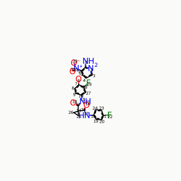 Nc1nccc(Oc2ccc(NC(=O)C3(C(=O)Nc4ccc(F)cc4)CC3)cc2F)c1[N+](=O)[O-]